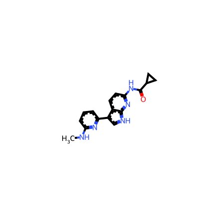 CNc1cccc(-c2c[nH]c3nc(NC(=O)C4CC4)ccc23)n1